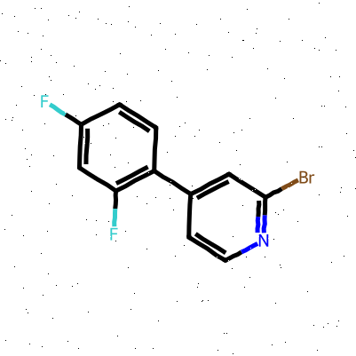 Fc1ccc(-c2ccnc(Br)c2)c(F)c1